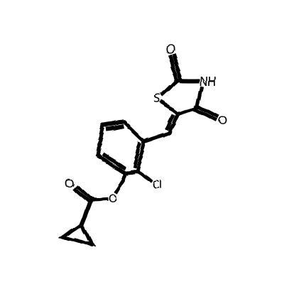 O=C1NC(=O)/C(=C/c2cccc(OC(=O)C3CC3)c2Cl)S1